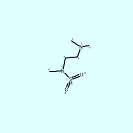 CN(C)CCN(C)[SH](=O)=O